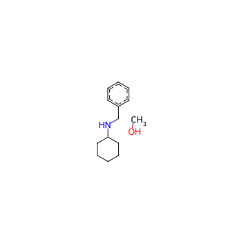 CO.c1ccc(CNC2CCCCC2)cc1